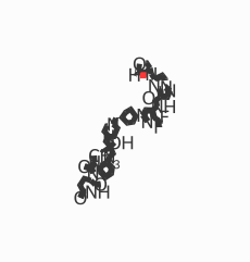 Cn1c(=O)n(C2CCC(=O)NC2=O)c2cccc(N3CC(O)(CN4CCN(C[C@H]5CC[C@H](n6cc(NC(=O)c7cnn8ccc(N9C[C@H]%10CC9CO%10)nc78)c(C(F)F)n6)CC5)CC4)C3)c21